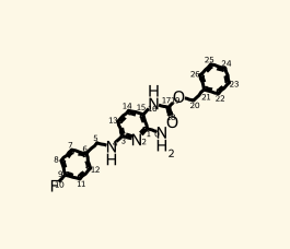 Nc1nc(NCc2ccc(F)cc2)ccc1NC(=O)OCc1ccccc1